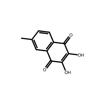 Cc1ccc2c(c1)C(=O)C(O)=C(O)C2=O